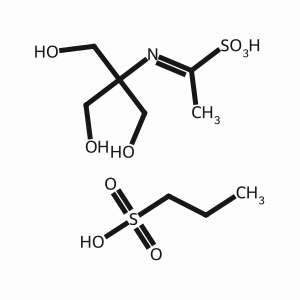 C/C(=N\C(CO)(CO)CO)S(=O)(=O)O.CCCS(=O)(=O)O